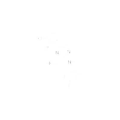 Cc1nc(N2CCC(C)(CC(F)F)CC2)c(CO)nc1-c1cccc(Cl)c1Cl